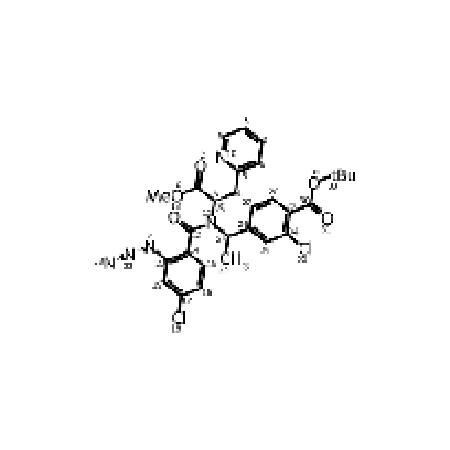 COC(=O)[C@@H](Cc1ccccn1)N(C(=O)c1ccc(Cl)cc1N=[N+]=[N-])C(C)c1ccc(C(=O)OC(C)(C)C)c(Cl)c1